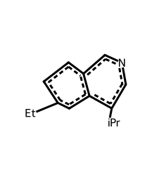 CCc1ccc2cncc(C(C)C)c2c1